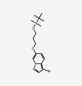 CC(C)(C)[Si](C)(C)OCCCOc1ccc2c(Br)cnn2c1